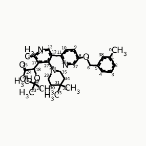 Cc1cccc(COc2ccc(-c3cnc(C)c(C(OC(C)(C)C)C(=O)O)c3N3CCC(C)(C)CC3)nc2)c1